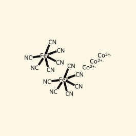 N#[C][Fe-3]([C]#N)([C]#N)([C]#N)([C]#N)[C]#N.N#[C][Fe-3]([C]#N)([C]#N)([C]#N)([C]#N)[C]#N.[Co+2].[Co+2].[Co+2]